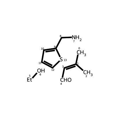 CC(C)=CC=O.CCO.NCc1cccs1